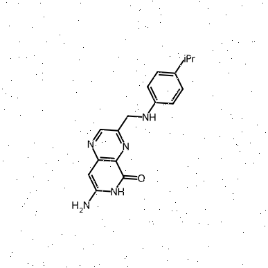 CC(C)c1ccc(NCc2cnc3cc(N)[nH]c(=O)c3n2)cc1